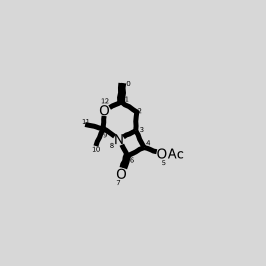 C=C1CC2C(OC(C)=O)C(=O)N2C(C)(C)O1